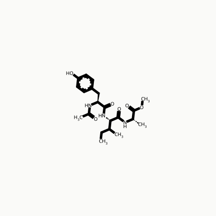 CCC(C)[C@H](NC(=O)[C@H](Cc1ccc(O)cc1)NC(C)=O)C(=O)N[C@@H](C)C(=O)OC